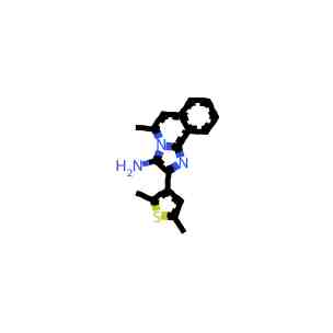 Cc1cc(-c2nc3c4ccccc4cc(C)n3c2N)c(C)s1